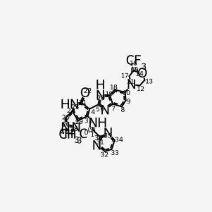 C[C@H](Nc1c(-c2nc3ccc(N4CCO[C@@H](C(F)(F)F)C4)cc3[nH]2)c(=O)[nH]c2cn(C)nc12)c1ncccn1